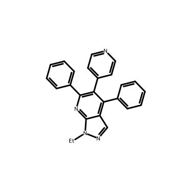 CCn1ncc2c(-c3ccccc3)c(-c3ccncc3)c(-c3ccccc3)nc21